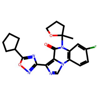 CC1(n2c(=O)c3c(-c4noc(C5CCCC5)n4)ncn3c3ccc(F)cc32)CCCO1